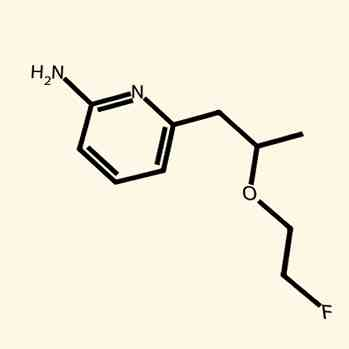 CC(Cc1cccc(N)n1)OCCF